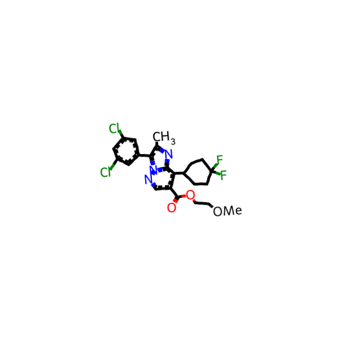 COCCOC(=O)c1cnn2c(-c3cc(Cl)cc(Cl)c3)c(C)nc2c1C1CCC(F)(F)CC1